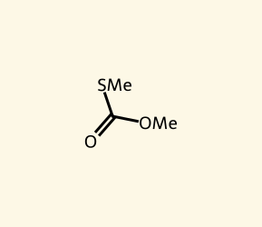 [CH2]OC(=O)SC